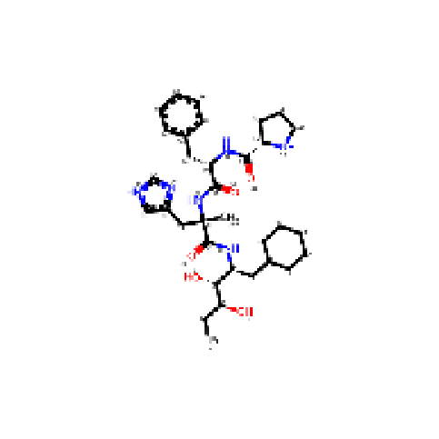 CC(C)C[C@H](O)[C@H](O)[C@H](CC1CCCCC1)NC(=O)[C@](C)(Cc1c[nH]cn1)NC(=O)[C@H](Cc1ccccc1)NC(=O)[C@@H]1CCCN1